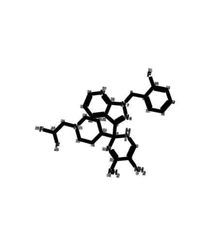 NC1=CNC(c2nn(Cc3ccccc3F)c3ncccc23)(C2CCN(CC(F)F)CC2)N=C1N